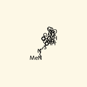 CNCCCN(C)CCCSc1ccc(N/C(=C\C(=N)C2=NC3(C(=O)O2)C2CC4CC(C2)CC3C4)c2c(OC)cccc2OC)c(C(C)C)c1